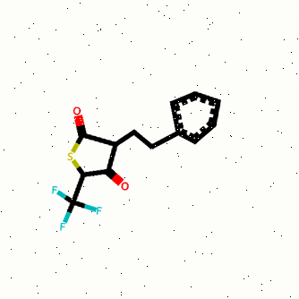 O=C1SC(C(F)(F)F)C(=O)C1CCc1ccccc1